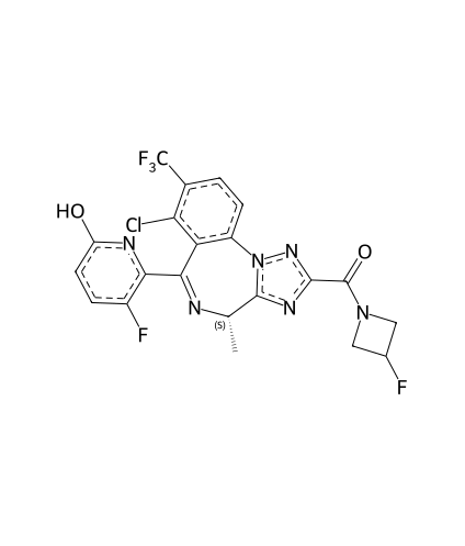 C[C@@H]1N=C(c2nc(O)ccc2F)c2c(ccc(C(F)(F)F)c2Cl)-n2nc(C(=O)N3CC(F)C3)nc21